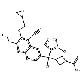 CCc1nc2ccc(C(O)(c3cncn3C)C3CN(C(C)=O)C3)cc2c(C#N)c1OCC1CC1